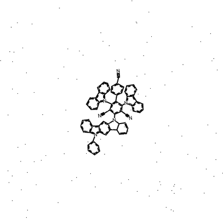 N#Cc1ccc(-c2c(-n3c4ccccc4c4ccccc43)c(C#N)c(N3c4cc5c6ccccc6n(-c6ccccc6)c5cc4C4C=CC=CC43)c(C#N)c2-n2c3ccccc3c3ccccc32)cc1